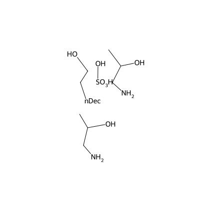 CC(O)CN.CC(O)CN.CCCCCCCCCCCCO.O=S(=O)(O)O